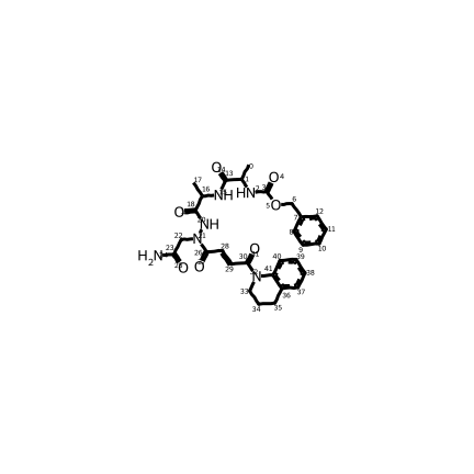 CC(NC(=O)OCc1ccccc1)C(=O)NC(C)C(=O)NN(CC(N)=O)C(=O)/C=C/C(=O)N1CCCc2ccccc21